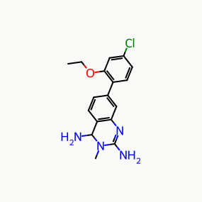 CCOc1cc(Cl)ccc1-c1ccc2c(c1)N=C(N)N(C)C2N